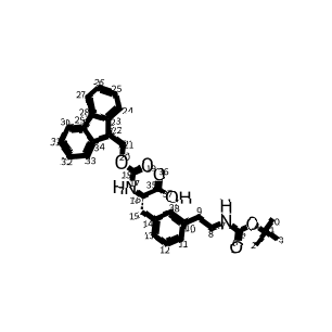 CC(C)(C)OC(=O)NCCc1cccc(C[C@H](NC(=O)OCC2c3ccccc3-c3ccccc32)C(=O)O)c1